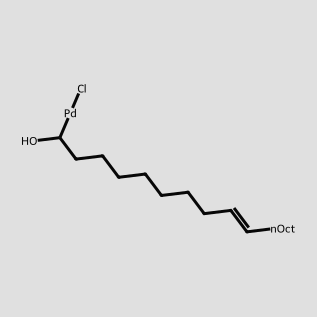 CCCCCCCCC=CCCCCCCC[CH](O)[Pd][Cl]